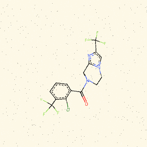 O=C(c1cccc(C(F)(F)F)c1Cl)N1CCn2cc(C(F)(F)F)nc2C1